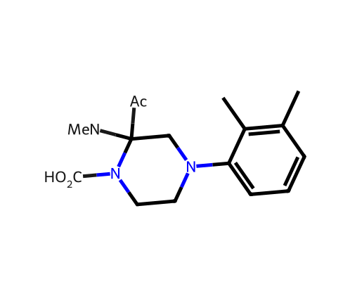 CNC1(C(C)=O)CN(c2cccc(C)c2C)CCN1C(=O)O